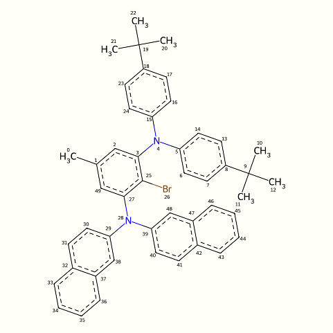 Cc1cc(N(c2ccc(C(C)(C)C)cc2)c2ccc(C(C)(C)C)cc2)c(Br)c(N(c2ccc3ccccc3c2)c2ccc3ccccc3c2)c1